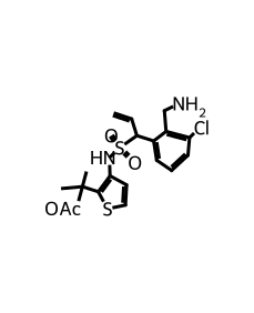 C=CC(c1cccc(Cl)c1CN)S(=O)(=O)Nc1ccsc1C(C)(C)OC(C)=O